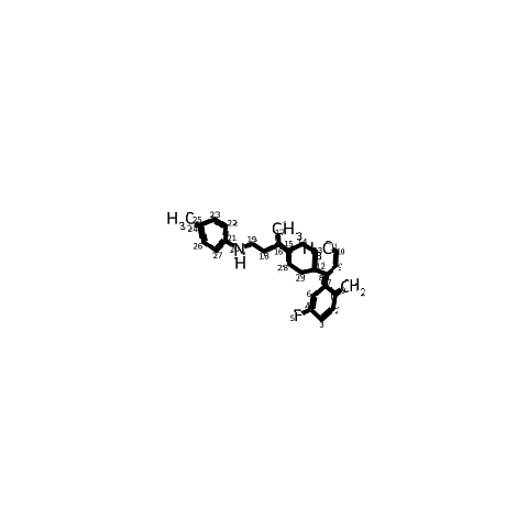 C=c1ccc(F)c/c1=C(/C=C\C)C1CCC(C(C)CCNc2ccc(C)cc2)CC1